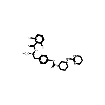 O=C(N[C@@H](Cc1ccc(NC(=O)[C@@H]2CCC[C@@H](NC3=NCCCN3)C2)cc1)C(=O)O)c1c(Cl)cccc1Cl